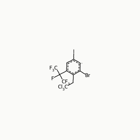 FC(F)(F)C(F)(c1cc(I)[c]c(Br)c1CC(Cl)(Cl)Cl)C(F)(F)F